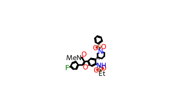 CCS(=O)(=O)Nc1cc2oc(-c3ccc(F)cc3)c(C(=O)NC)c2cc1[C@H]1CCCN(S(=O)(=O)c2ccccc2)C1